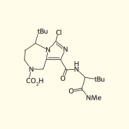 CNC(=O)C(NC(=O)c1nc(Cl)n2c1CN(C(=O)O)CCC2C(C)(C)C)C(C)(C)C